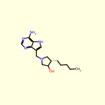 CCCCC[C@H]1CN(Cc2c[nH]c3c(N)ncnc23)CC1O